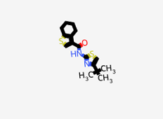 CC(C)(C)c1csc(NC(=O)c2csc3c2CCCC3)n1